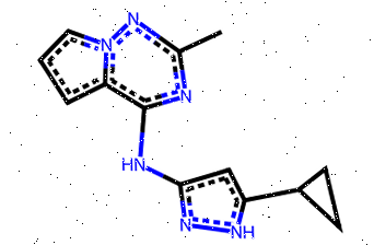 Cc1nc(Nc2cc(C3CC3)[nH]n2)c2cccn2n1